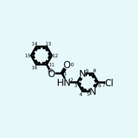 O=C(Nc1cnc(Cl)cn1)Oc1ccccc1